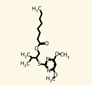 CCCCCCCC(=O)OCC(Sc1nc(OC)cc(OC)n1)C(C)C